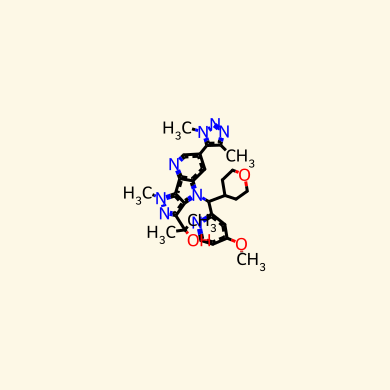 COc1ccnc(C(C2CCOCC2)n2c3cc(-c4c(C)nnn4C)cnc3c3c2c(C(C)(C)O)nn3C)c1